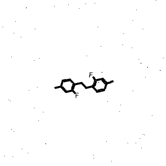 Cc1ccc(CCc2ccc(C)cc2F)c(F)c1